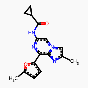 Cc1cn2cc(NC(=O)C3CC3)nc(-c3ccc(C)o3)c2n1